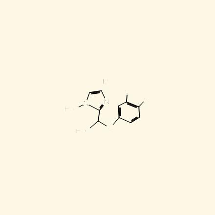 Br.CC(Oc1ccc(Cl)c(Cl)c1)c1nccn1C